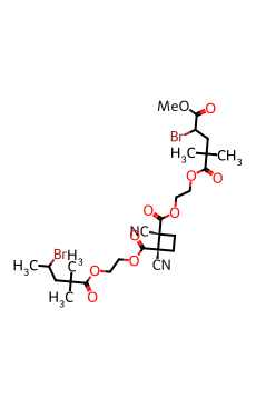 COC(=O)C(Br)CC(C)(C)C(=O)OCCOC(=O)[C@]1(C#N)CC[C@]1(C#N)C(=O)OCCOC(=O)C(C)(C)CC(C)Br